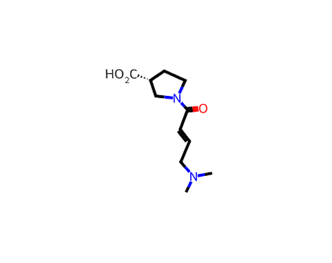 CN(C)C/C=C/C(=O)N1CC[C@@H](C(=O)O)C1